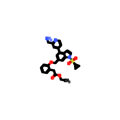 CCOC(=O)Cc1ccccc1OCc1cc(-c2ccnc(CN)c2)c2ccn(S(=O)(=O)C3CC3)c2c1